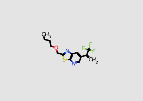 C=C(c1cnc2sc(COCCCC)nc2c1)C(F)(F)F